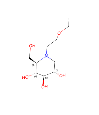 CCOCCN1C[C@H](O)[C@@H](O)[C@H](O)[C@H]1CO